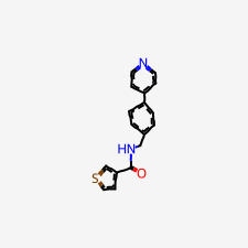 O=C(NCc1ccc(-c2ccncc2)cc1)c1ccsc1